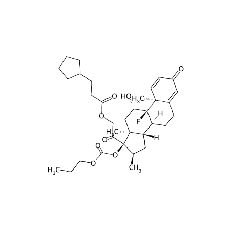 CCCOC(=O)O[C@]1(C(=O)COC(=O)CCC2CCCC2)[C@H](C)C[C@H]2[C@@H]3CCC4=CC(=O)C=C[C@]4(C)[C@@]3(F)[C@@H](O)C[C@@]21C